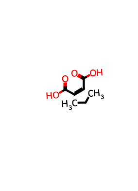 CCC.O=C(O)/C=C\C(=O)O